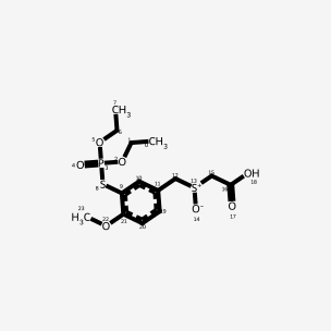 CCOP(=O)(OCC)Sc1cc(C[S+]([O-])CC(=O)O)ccc1OC